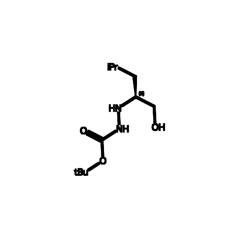 CC(C)C[C@@H](CO)NNC(=O)OC(C)(C)C